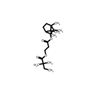 CCC(C)(C)C(=O)OCCC(=O)OC1C2CCC(C)(C1C)C2(C)C